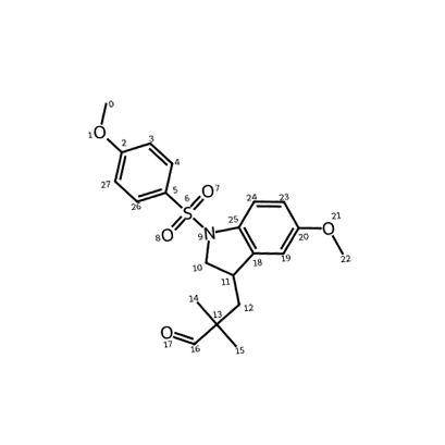 COc1ccc(S(=O)(=O)N2CC(CC(C)(C)C=O)c3cc(OC)ccc32)cc1